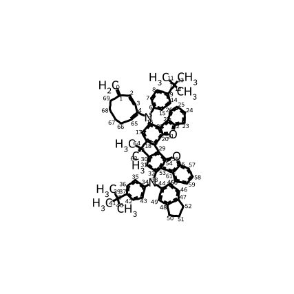 C=C1/C=C\C(N(c2ccc(C(C)(C)C)cc2)c2cc3c(c4oc5ccccc5c24)-c2c(cc(N(c4ccc(C(C)(C)C)cc4)c4ccc5c(c4)CCC5)c4c2oc2ccccc24)C3(C)C)=C/CCCC1